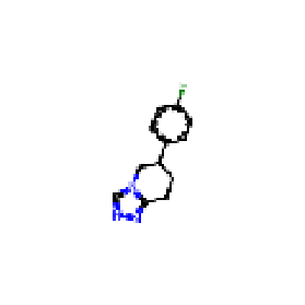 Fc1ccc(C2CCc3nncn3C2)cc1